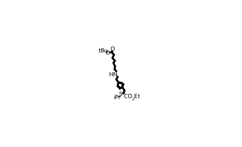 CCOC(=O)C(Cc1ccc(CCNCCCCCCCC(=O)OC(C)(C)C)cc1)SC(C)C